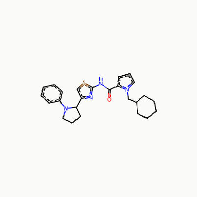 O=C(Nc1nc(C2CCCN2c2ccccc2)cs1)c1cccn1CC1CCCCC1